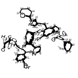 CC(C)(C=O)OCCC(c1cccc(Br)c1)n1nccc1-c1cc(Oc2c(F)cc3c(ccn3S(=O)(=O)c3ccccc3)c2Cc2cnn(C3CCCCO3)c2)ccc1F